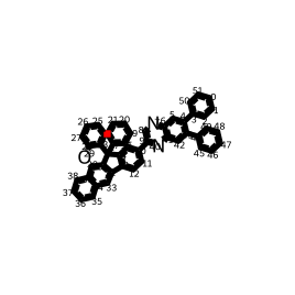 c1ccc(-c2cc3ncc(-c4ccc5c(c4)C4(c6ccccc6)c6ccccc6Oc6c4c-5cc4ccccc64)nc3cc2-c2ccccc2)cc1